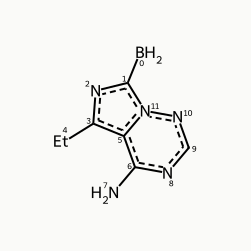 Bc1nc(CC)c2c(N)ncnn12